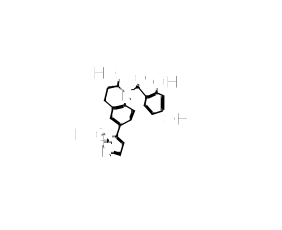 CC1CCc2cc(-c3ccnn3C)ccc2N1C(=O)c1ccc(O)cc1O